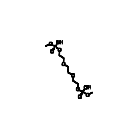 COP(=O)(O)OCCOCCOCCOP(=O)(O)OC